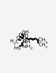 CCC[C@@](CCO)(C(=O)O)N(NCC(N)CS)C(=O)C/C=C/C[C@@H](C)CC